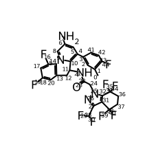 Cc1cc(-c2cc(N)cnc2C(Cc2cc(F)cc(F)c2)NC(=O)Cn2nc(C(F)F)c3c2C(F)(F)CCC3(F)F)ccc1F